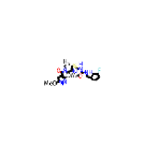 COc1cc(C(=O)N(C)Cc2csc(NC(=O)NCc3cccc(F)c3)n2)c(OC)nn1